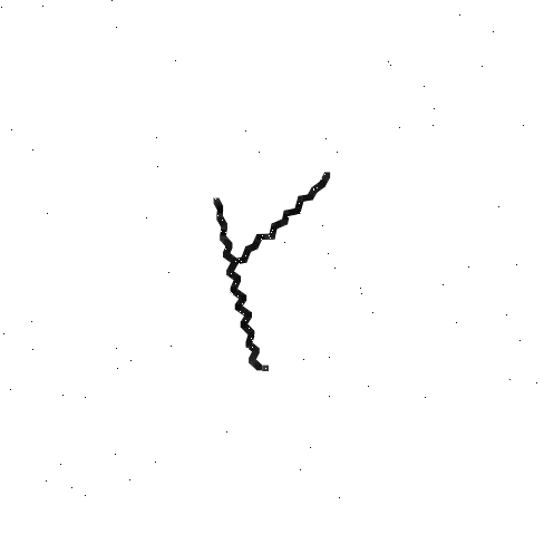 [CH2]CCCCCCCCCCCC(CCCCCCC)CCCCCCCCCCCCCC